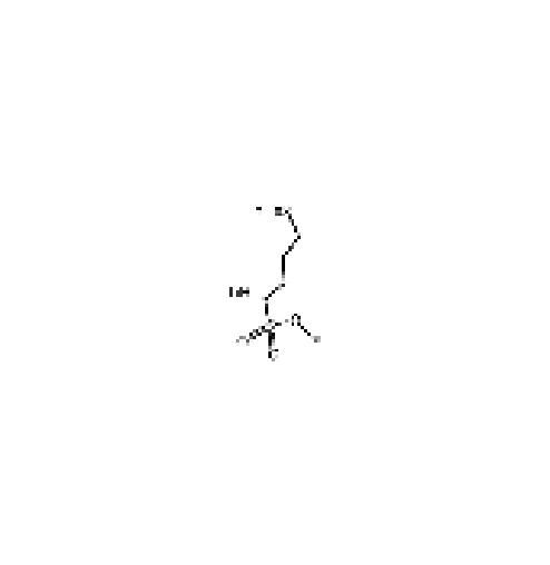 CCCCCCCCCCS(=O)(=O)OF.[LiH]